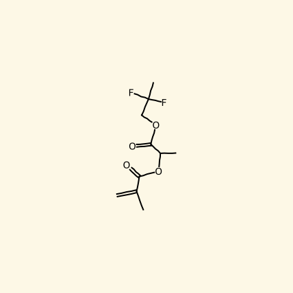 C=C(C)C(=O)OC(C)C(=O)OCC(C)(F)F